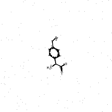 CC(C(=O)Cl)c1ccc(CBr)cc1